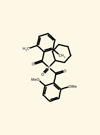 COc1cccc(OC)c1C(=O)P(=O)(C(=O)c1c(C)cccc1C)C1CCCCC1